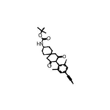 CC#Cc1cc(C)c(C2C(=O)CC3(CCC(NC(=O)OC(C)(C)C)CC3)CC2=O)c(C)c1